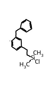 C[Si](C)(Cl)CCc1cc[c]c(Cc2ccccc2)c1